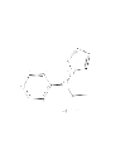 CCN(c1ccncc1)n1cccc1.Cl